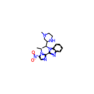 CCn1c([N+](=O)[O-])cnc1-c1nc2ccccc2n1C(C)C1CN(C)CCN1